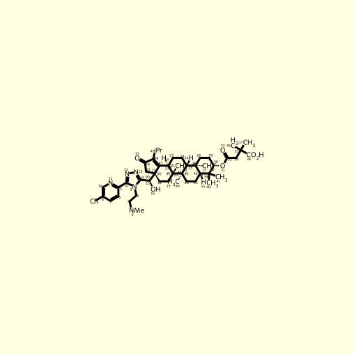 CNCCn1c(-c2ccc(Cl)cn2)nnc1[C@H](O)[C@@]12CC[C@]3(C)[C@H](CC[C@@H]4[C@@]5(C)CC[C@H](OC(=O)CC(C)(C)C(=O)O)C(C)(C)[C@@H]5CC[C@]43C)C1=C(C(C)C)C(=O)C2